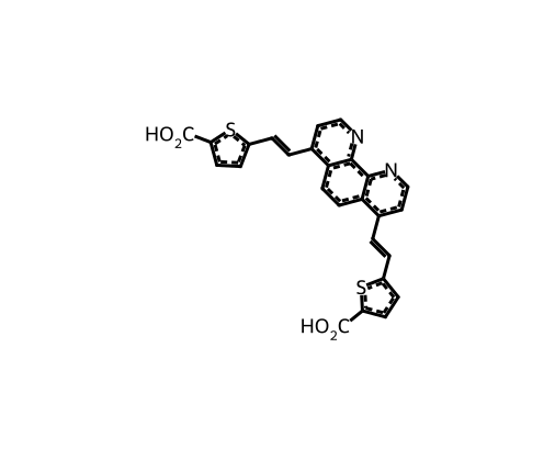 O=C(O)c1ccc(/C=C/c2ccnc3c2ccc2c(/C=C/c4ccc(C(=O)O)s4)ccnc23)s1